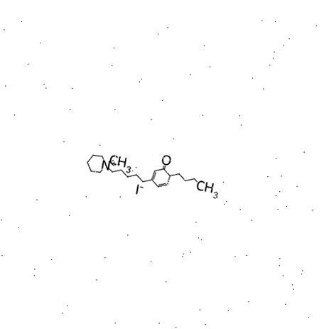 CCCCC1C=CC(CCCCC[N+]2(C)CCCCC2)=CC1=O.[I-]